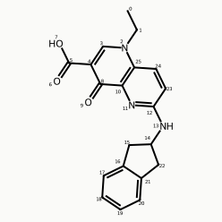 CCn1cc(C(=O)O)c(=O)c2nc(NC3Cc4ccccc4C3)ccc21